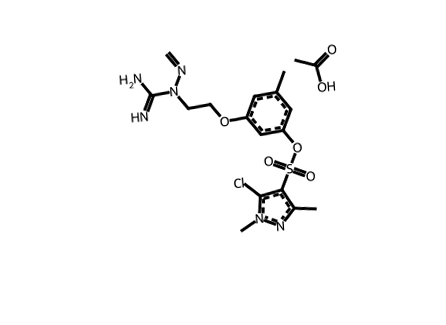 C=NN(CCOc1cc(C)cc(OS(=O)(=O)c2c(C)nn(C)c2Cl)c1)C(=N)N.CC(=O)O